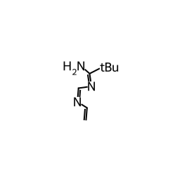 C=C/N=C\N=C(/N)C(C)(C)C